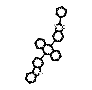 c1ccc(-c2nc3cc(-c4c5ccccc5c(-c5ccc6c(c5)oc5ccccc56)c5ccccc45)ccc3o2)cc1